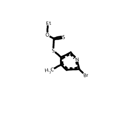 CCOC(=S)Sc1cnc(Br)cc1C